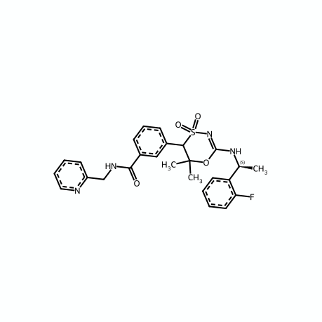 C[C@H](NC1=NS(=O)(=O)C(c2cccc(C(=O)NCc3ccccn3)c2)C(C)(C)O1)c1ccccc1F